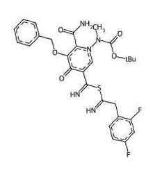 CN(C(=O)OC(C)(C)C)n1cc(C(=N)SC(=N)Cc2ccc(F)cc2F)c(=O)c(OCc2ccccc2)c1C(N)=O